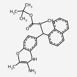 CC1=C(N)Nc2cc(C(c3cccc4ccccc34)N(C)C(=O)OC(C)(C)C)ccc2O1